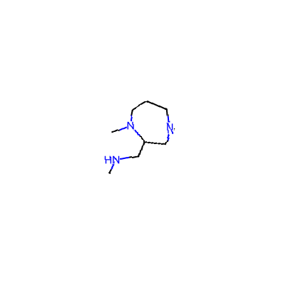 CNCC1C[N]CCCN1C